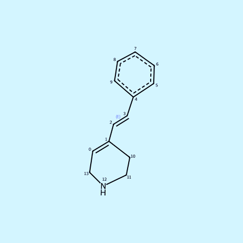 C1=C(/C=C/c2ccccc2)CCNC1